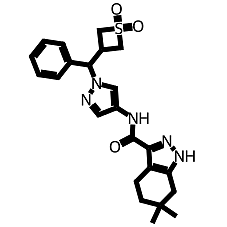 CC1(C)CCc2c(C(=O)Nc3cnn(C(c4ccccc4)C4CS(=O)(=O)C4)c3)n[nH]c2C1